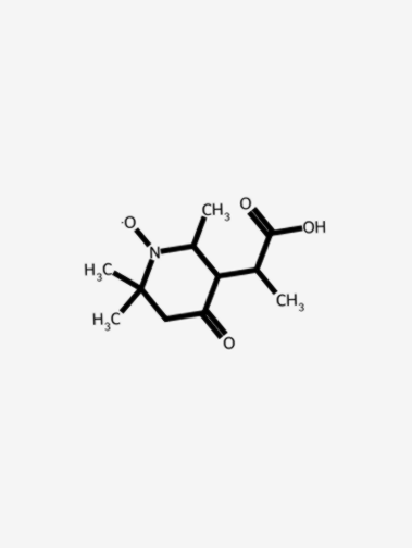 CC(C(=O)O)C1C(=O)CC(C)(C)N([O])C1C